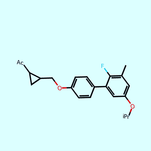 CC(=O)C1CC1COc1ccc(-c2cc(OC(C)C)cc(C)c2F)cc1